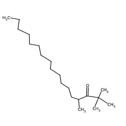 CCCCCCCCCCCCCC(C)C(=O)C(C)(C)C